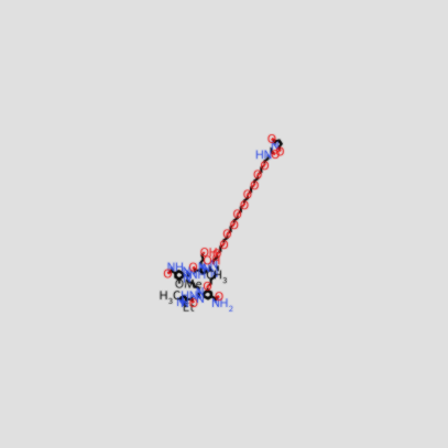 CCn1nc(C)cc1C(=O)Nc1nc2cc(C(N)=O)cc(OCCCN3CCN(CCOCCOCCOCCOCCOCCOCCOCCOCCOCCOCCNC(=O)CN4C(=O)C=CC4=O)CC3)c2n1C/C=C/Cn1c(NC(=O)c2cc(C)nn2CC(O)CO)nc2cc(C(N)=O)cc(OC)c21